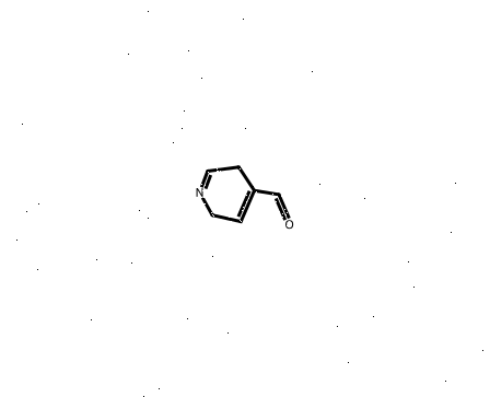 O=CC1=CCN=CC1